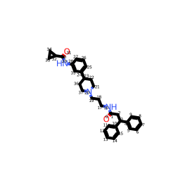 O=C(CC(c1ccccc1)c1ccccc1)NCCCN1CCC(c2cccc(NC(=O)C3CC3)c2)CC1